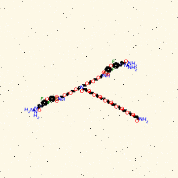 C/C(=C\c1cc(F)c(Oc2ccc(S(=O)(=O)NCCOCCOCCOCCN(CCOCCOCCOCCNS(=O)(=O)c3ccc(Oc4c(F)cc(/C=C(\C)C(=O)N=C(N)N)cc4F)cc3)C(=O)CCOCCOCCOCCOCCOCCOCCOCCOCCOCCC(N)=O)cc2)c(F)c1)C(=O)N=C(N)N